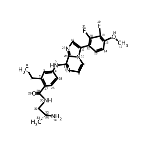 CCc1cc(Nc2nccn3c(-c4ccc(OC)c(F)c4F)cnc23)ccc1C(=O)NC[C@@H](C)N